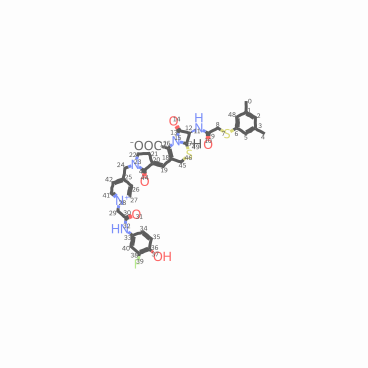 Cc1cc(C)cc(SCC(=O)N[C@@H]2C(=O)N3C(C(=O)[O-])=C(C=C4CCN(Cc5cc[n+](CC(=O)Nc6ccc(O)c(F)c6)cc5)C4=O)CS[C@H]23)c1